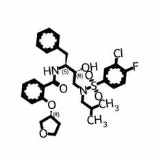 CC(C)CN(C[C@@H](O)[C@H](Cc1ccccc1)NC(=O)c1ccccc1O[C@@H]1CCOC1)S(=O)(=O)c1ccc(F)c(Cl)c1